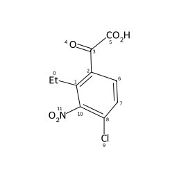 CCc1c(C(=O)C(=O)O)ccc(Cl)c1[N+](=O)[O-]